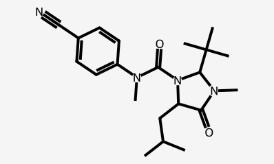 CC(C)CC1C(=O)N(C)C(C(C)(C)C)N1C(=O)N(C)c1ccc(C#N)cc1